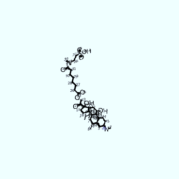 C/N=C1/C=C2[C@@H](C)C[C@@H]3[C@H]([C@@H](O)C[C@@]4(C)[C@H]3CC[C@]4(O)C(=O)COC(=O)CCCCCCC(=O)N(C)CCS(=O)(=O)O)[C@@]2(C)CC1